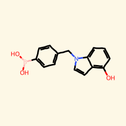 OB(O)c1ccc(Cn2ccc3c(O)cccc32)cc1